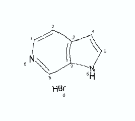 Br.c1cc2cc[nH]c2cn1